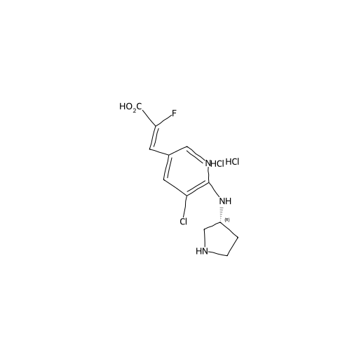 Cl.Cl.O=C(O)C(F)=Cc1cnc(N[C@@H]2CCNC2)c(Cl)c1